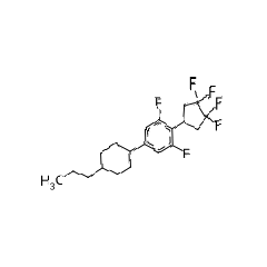 CCCC1CCC(c2cc(F)c(C3CC(F)(F)C(F)(F)C3)c(F)c2)CC1